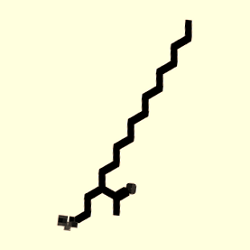 CCCCCCCCCCCCCC(CCN)C(C)=O